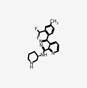 Cc1ccc(-c2nnc(N[C@@H]3CCCNC3)c3ncccc23)c(C(F)F)c1